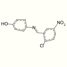 O=[N+]([O-])c1ccc(Cl)c(C=Nc2ccc(O)cc2)c1